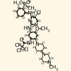 COc1cc(N2CCC(N3CCN(C)CC3)CC2)c(NC(=O)C(Cl)(Cl)Cl)cc1Nc1ncc(Cl)c(Nc2ccccc2P(C)(C)=O)n1